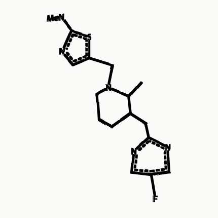 CNc1ncc(CN2CCCC(Cc3ncc(F)cn3)C2C)s1